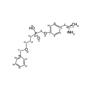 C[C@@H](N)Cc1ccc(OCP(=O)(O)CCCOCc2ccccc2)cc1